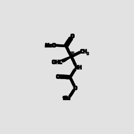 COC(=O)[C@@](C)(C=O)NC(=O)OC(C)(C)C